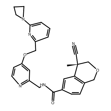 C[C@@]1(C#N)COCc2ccc(C(=O)NCc3cc(OCc4cccc(N5CCC5)n4)ccn3)cc21